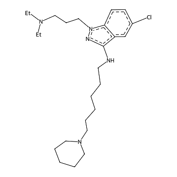 CCN(CC)CCCn1nc(NCCCCCCN2CCCCC2)c2cc(Cl)ccc21